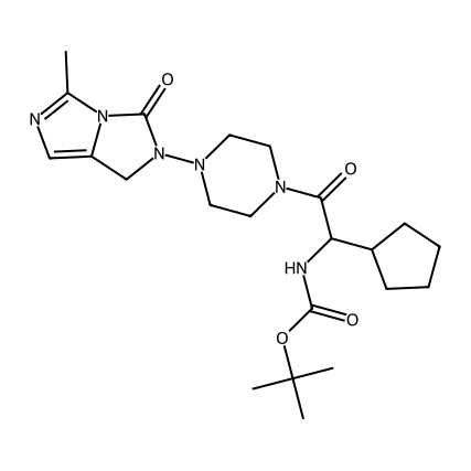 Cc1ncc2n1C(=O)N(N1CCN(C(=O)C(NC(=O)OC(C)(C)C)C3CCCC3)CC1)C2